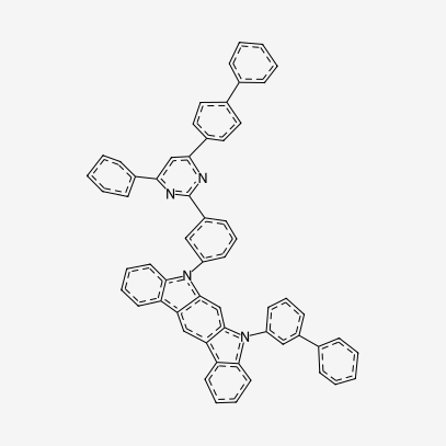 c1ccc(-c2ccc(-c3cc(-c4ccccc4)nc(-c4cccc(-n5c6ccccc6c6cc7c8ccccc8n(-c8cccc(-c9ccccc9)c8)c7cc65)c4)n3)cc2)cc1